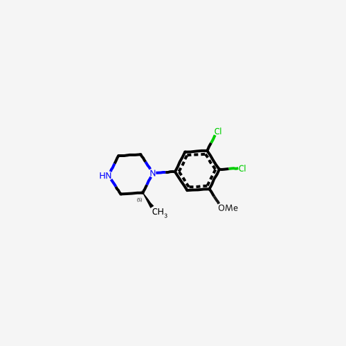 COc1cc(N2CCNC[C@@H]2C)cc(Cl)c1Cl